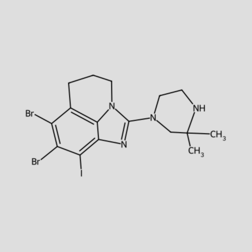 CC1(C)CN(c2nc3c(I)c(Br)c(Br)c4c3n2CCC4)CCN1